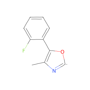 Cc1n[c]oc1-c1ccccc1F